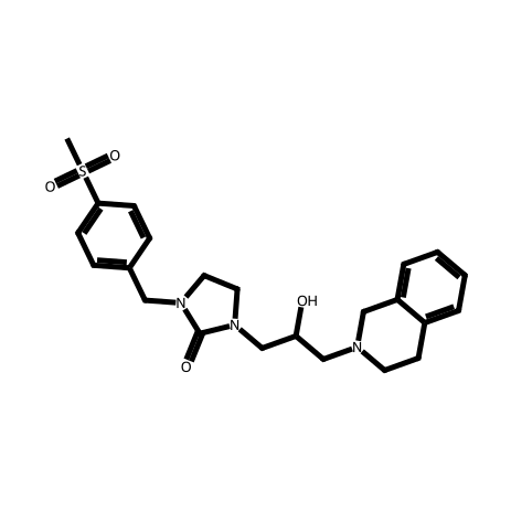 CS(=O)(=O)c1ccc(CN2CCN(CC(O)CN3CCc4ccccc4C3)C2=O)cc1